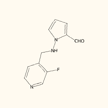 O=Cc1cccn1NCc1ccncc1F